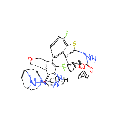 CC(C)(C)OC(=O)Nc1sc2c(F)ccc(-c3c4c(c5c(N6C7CCC6CN(C(=O)O)C7)cnnc5c3F)COC4)c2c1C#N